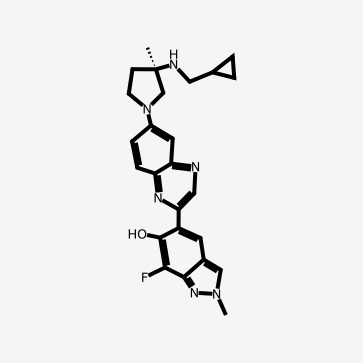 Cn1cc2cc(-c3cnc4cc(N5CC[C@@](C)(NCC6CC6)C5)ccc4n3)c(O)c(F)c2n1